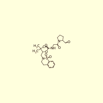 CC(C)(C)C(CN1CCc2ccccc2S1(=O)=O)OC(=O)NCC(=O)N1CCCC1C=O